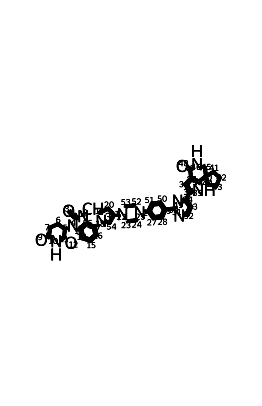 Cn1c(=O)n(C2CCC(=O)NC2=O)c2cccc(N3CC[C@@H](N4CCN(c5ccc(-c6nccc(-c7cc8c([nH]7)C7(CCCC7)CNC8=O)n6)cc5)CC4)C3)c21